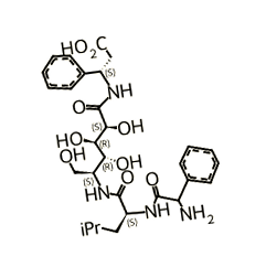 CC(C)C[C@H](NC(=O)C(N)c1ccccc1)C(=O)N[C@@H](CO)[C@@H](O)[C@@H](O)[C@H](O)C(=O)N[C@@H](CC(=O)O)c1ccccc1